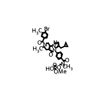 COP(=O)(O)OCN(C)C(=O)c1ccc(-n2c(=O)c3c(n4ncc(CC5CC5)c24)CN(C(=O)c2ccc(Br)c(C)c2)[C@H](C)C3)cc1